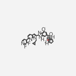 COc1cc(C(=O)N2C[C@H]3CC[C@@H]2[C@@H]3N)cc2nc(-c3cc4ccc(-c5ccnc(F)c5F)nc4n3CC3CC3)n(C)c12